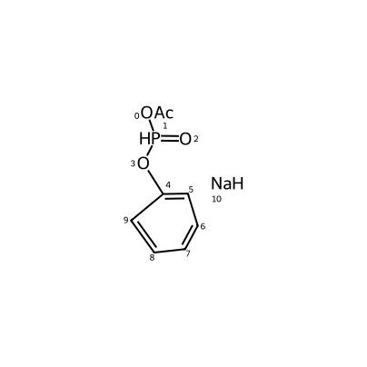 CC(=O)O[PH](=O)Oc1ccccc1.[NaH]